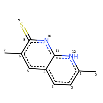 Cc1ccc2cc(C)c(=S)nc-2[nH]1